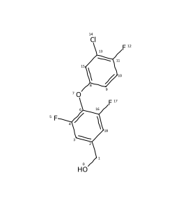 OCc1cc(F)c(Oc2ccc(F)c(Cl)c2)c(F)c1